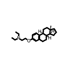 CCN(CC)CCOc1ccc2c(c1)CC[C@@H]1[C@@H]2CC[C@]2(C)CCC[C@@H]12